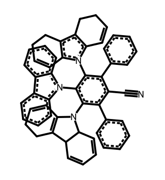 N#Cc1c(-c2ccccc2)c(N2C3=C(CCC=C3)C3C=CC=CC32)c(-n2c3ccccc3c3ccccc32)c(-n2c3c(c4c2C=CCC4)CCC=C3)c1-c1ccccc1